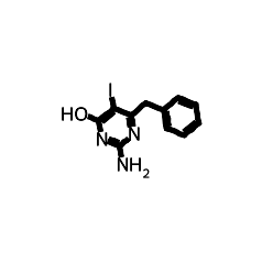 Nc1nc(O)c(I)c(Cc2ccccc2)n1